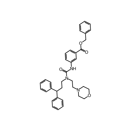 O=C(OCc1ccccc1)c1cccc(NC(=O)N(CCC(c2ccccc2)c2ccccc2)CCN2CCOCC2)c1